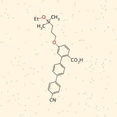 CCO[Si](C)(C)CCCOc1ccc(C(=O)O)c(-c2ccc(-c3ccc(C#N)cc3)cc2)c1